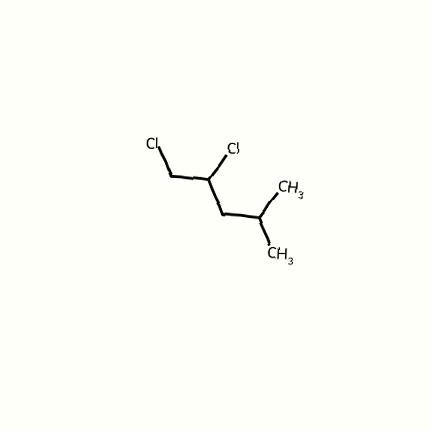 CC(C)CC(Cl)CCl